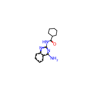 Nc1nc(NC(=O)C2CCCCC2)nc2ccccc12